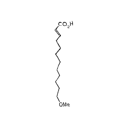 COCCCCCCCCCC=CC(=O)O